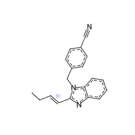 CC/C=C/c1nc2ccccc2n1Cc1ccc(C#N)cc1